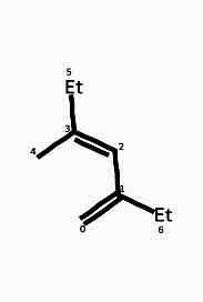 C=C(C=C(C)CC)CC